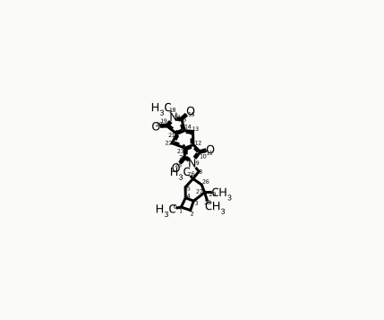 CC1CC2C1CC(C)(Cn1c(=O)c3cc4c(=O)n(C)c(=O)c4cc3c1=O)CC2(C)C